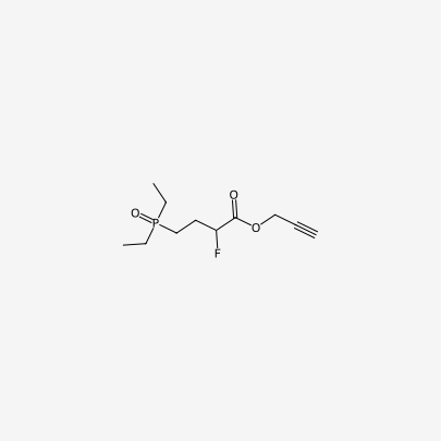 C#CCOC(=O)C(F)CCP(=O)(CC)CC